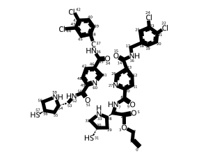 C=CCOC(=O)C(NC(=O)c1ccc(C(=O)NCc2ccc(Cl)c(Cl)c2)cn1)[C@@H]1C[C@H](S)CN1.O=C(NCc1ccc(Cl)c(Cl)c1)c1ccc(C(=O)NC[C@@H]2C[C@H](S)CN2)nc1